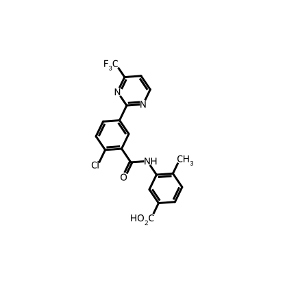 Cc1ccc(C(=O)O)cc1NC(=O)c1cc(-c2nccc(C(F)(F)F)n2)ccc1Cl